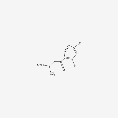 CC(=O)NC(CC(=O)c1ccc(Cl)cc1Cl)C(Cl)(Cl)Cl